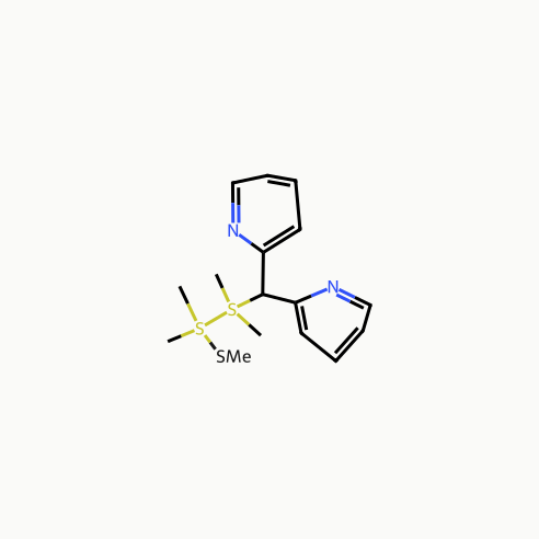 CSS(C)(C)S(C)(C)C(c1ccccn1)c1ccccn1